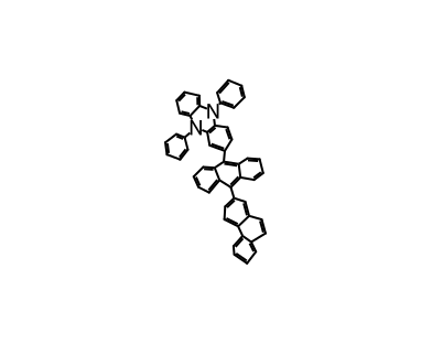 c1ccc(N2c3ccccc3N(c3ccccc3)c3cc(-c4c5ccccc5c(-c5ccc6c(ccc7ccccc76)c5)c5ccccc45)ccc32)cc1